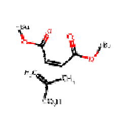 C=C(C)C(=O)O.CCCCOC(=O)/C=C\C(=O)OCCCC